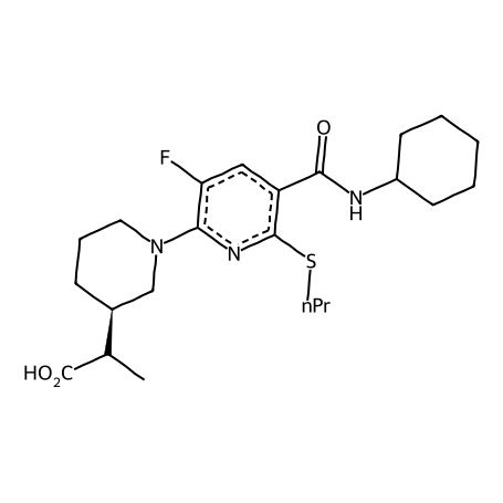 CCCSc1nc(N2CCC[C@H](C(C)C(=O)O)C2)c(F)cc1C(=O)NC1CCCCC1